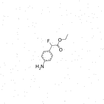 CCOC(=O)C(F)c1ccc(N)cc1